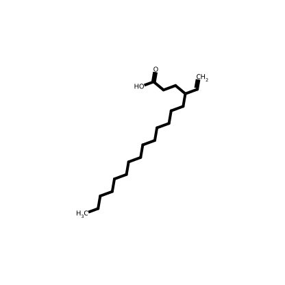 C=CC(CCCCCCCCCCCCCC)CCC(=O)O